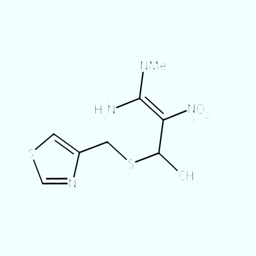 CNC(N)=C(C(C)SCc1cscn1)[N+](=O)[O-]